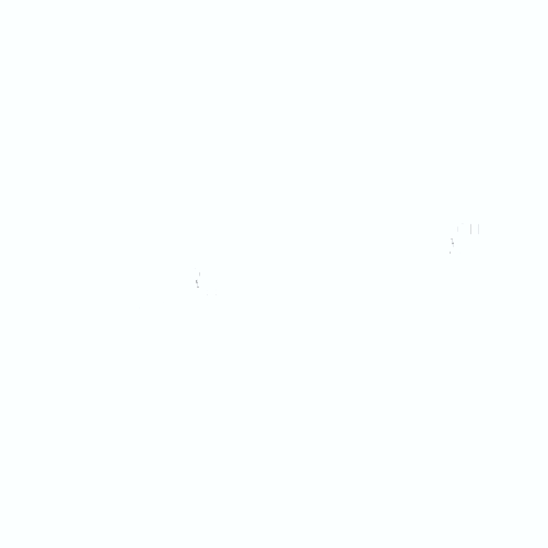 CCCCCCCCCCCC(=O)OCCCCCCCCCCCCCCCCCCCC(=O)O